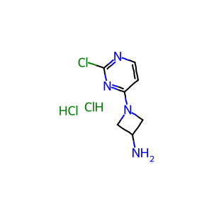 Cl.Cl.NC1CN(c2ccnc(Cl)n2)C1